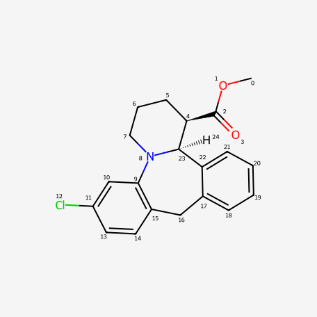 COC(=O)[C@@H]1CCCN2c3cc(Cl)ccc3Cc3ccccc3[C@H]12